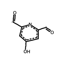 O=[C]c1cc(O)cc([C]=O)n1